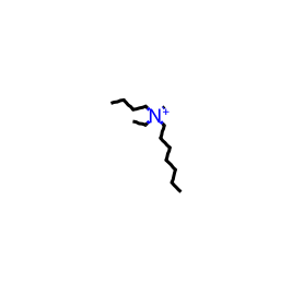 CCCCCCC[N+](C)(CC)CCCC